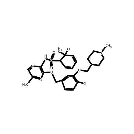 Cc1cnc(NS(=O)(=O)C2C=CC=CC2(C)Cl)c(OCc2ccc(Cl)c(OCC3CCN(C)CC3)c2)n1